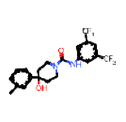 Cc1cccc(C2(O)CCN(C(=O)Nc3cc(C(F)(F)F)cc(C(F)(F)F)c3)CC2)c1